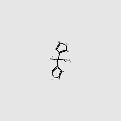 CCC(C)(c1ccsc1)c1ccsc1